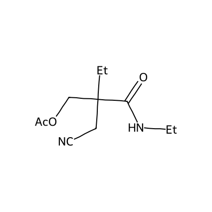 CCNC(=O)C(CC)(CC#N)COC(C)=O